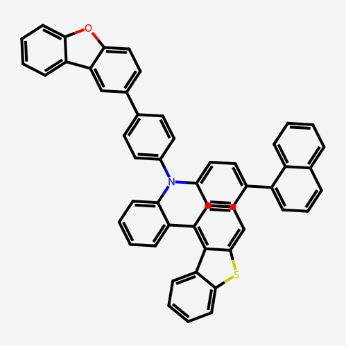 c1ccc(N(c2ccc(-c3ccc4oc5ccccc5c4c3)cc2)c2ccc(-c3cccc4ccccc34)cc2)c(-c2cccc3sc4ccccc4c23)c1